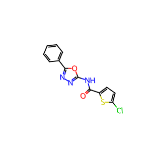 O=C(Nc1nnc(-c2ccccc2)o1)c1ccc(Cl)s1